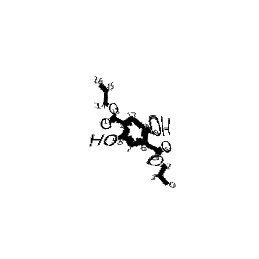 CCCOC(=O)c1cc(O)c(C(=O)OCCC)cc1O